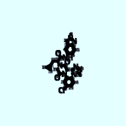 Cn1cc2cc(NC(=O)C(CC3CC3)N3CC(=O)N(c4cc(Cl)ccc4-n4cnnn4)CC3=O)ccc2n1